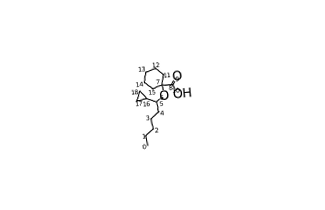 CCCCCC(OC1(C(=O)O)CCCCC1)C1CC1